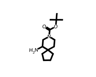 CC(C)(C)OC(=O)N1CCC2(CCCC2)C(N)C1